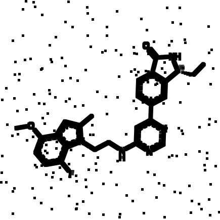 CC[C@H]1NC(=O)c2ccc(-c3cc(NCCn4c(C)cc5c(OC)ccc(F)c54)ncn3)cc21